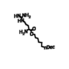 CCCCCCCCCCCCCCCCOC(=O)C(N)CCCNC(=N)N